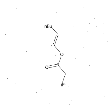 CCCCC=COC(=O)CC(C)C